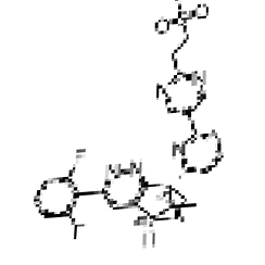 CC1(C)[C@H]2CC[C@]1(c1ccnc(-c3cnc(CCS(C)(=O)=O)nc3)n1)c1nnc(-c3c(F)cccc3F)cc12